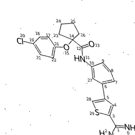 N=C(N)c1cc(-c2cccc(NC(=O)C3(Oc4ccc(Cl)cc4)CCCC3)c2)cs1